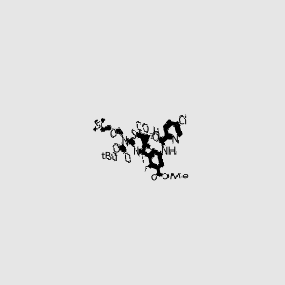 COC(=O)c1cc(NC(=O)c2ccc(Cl)cn2)cc([C@@]2(C)N=C(N(COCC[Si](C)(C)C)C(=O)OC(C)(C)C)S[C@@]3(C(=O)O)CC32C)c1F